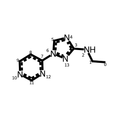 CCNc1ncn(-c2ccncn2)n1